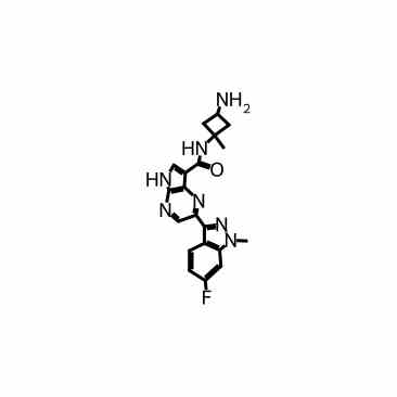 Cn1nc(-c2cnc3[nH]cc(C(=O)NC4(C)CC(N)C4)c3n2)c2ccc(F)cc21